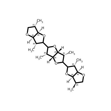 C[C@@H]1CO[C@H]2[C@@H]1OC(C1O[C@H]3[C@H](OC(C4O[C@H]5[C@H](OC[C@@H]5C)[C@H]4C)[C@H]3C)[C@@H]1C)[C@@H]2C